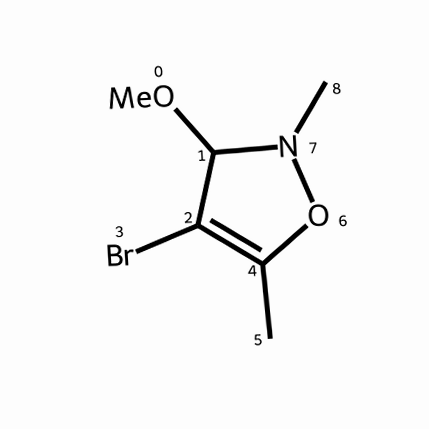 COC1C(Br)=C(C)ON1C